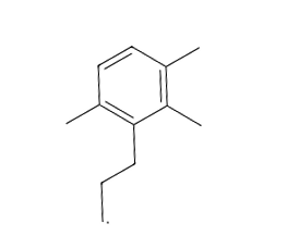 [CH2]CCc1c(C)ccc(C)c1C